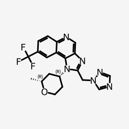 C[C@@H]1C[C@H](n2c(Cn3cncn3)nc3cnc4ccc(C(F)(F)F)cc4c32)CCO1